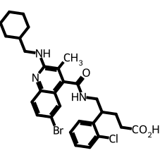 Cc1c(NCC2CCCCC2)nc2ccc(Br)cc2c1C(=O)NCC(CCC(=O)O)c1ccccc1Cl